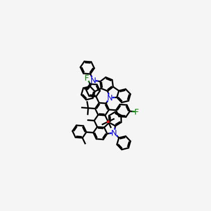 Cc1ccccc1-c1ccc2c(c1C(C)c1c(C(C)(C)C)c(-c3ccc(F)cc3)c(-n3c4ccccc4c4ccc5c(c6ccccc6n5-c5ccccc5)c43)c(-c3ccc(F)cc3)c1C(C)(C)C)c1ccccc1n2-c1ccccc1